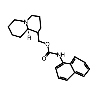 O=C(Nc1cccc2ccccc12)OCC1CCCN2CCCC[C@H]12